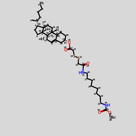 CC(C)CCCC(C)[C@H]1CC[C@H]2[C@@H]3CC=C4C[C@@H](OC(=O)CSSCC(=O)NCCCCCCCCNC(=O)OC(C)(C)C)CC[C@]4(C)[C@H]3CC[C@]12C